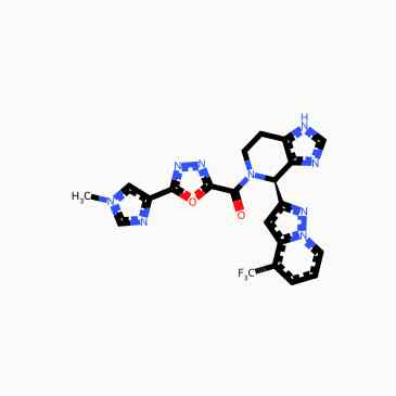 Cn1cnc(-c2nnc(C(=O)N3CCc4[nH]cnc4[C@H]3c3cc4c(C(F)(F)F)cccn4n3)o2)c1